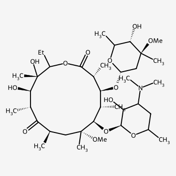 CCC1OC(=O)[C@H](C)[C@@H](O[C@H]2C[C@](C)(OC)[C@@H](O)C(C)O2)[C@H](C)[C@@H](O[C@@H]2OC(C)CC(N(C)C)C2O)[C@](C)(OC)C[C@@H](C)C(=O)[C@H](C)[C@@H](O)[C@]1(C)O